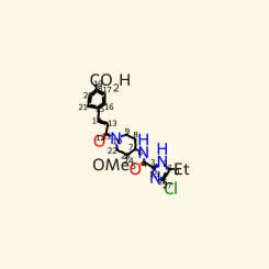 CCc1[nH]c(C(=O)NC2CCN(C(=O)C=Cc3ccc(C(=O)O)cc3)CC2OC)nc1Cl